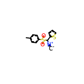 [C-]#[N+]C(c1cccs1)S(=O)(=O)c1ccc(C)cc1